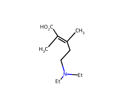 CCN(CC)CCC(C)=C(C)C(=O)O